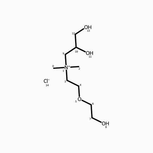 C[N+](C)(CCOCCO)CC(O)CO.[Cl-]